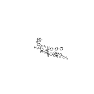 C=CC(=O)Oc1ccc(C(C)(C)c2ccc(Nc3nc(Nc4ccc(-c5ccc(-c6ccccc6)cc5)cc4)nc(Nc4ccc(C(C)(C)c5ccc(OC(=O)C=C)cc5)cc4)n3)cc2)cc1